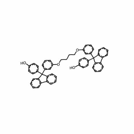 Oc1ccc(C2(c3cccc(OCCCCOc4cccc(C5(c6ccc(O)cc6)c6ccccc6-c6ccccc65)c4)c3)c3ccccc3-c3ccccc32)cc1